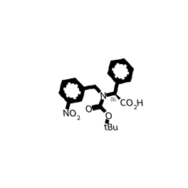 CC(C)(C)OC(=O)N(Cc1cccc([N+](=O)[O-])c1)[C@H](C(=O)O)c1ccccc1